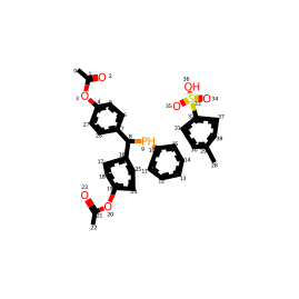 CC(=O)Oc1ccc(C(Pc2ccccc2)c2ccc(OC(C)=O)cc2)cc1.Cc1ccc(S(=O)(=O)O)cc1